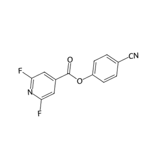 N#Cc1ccc(OC(=O)c2cc(F)nc(F)c2)cc1